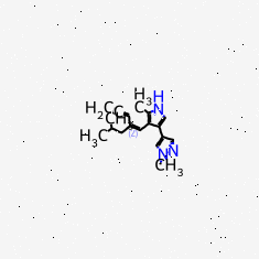 C=C=C/C(=C\c1c(-c2cnn(C)c2)c[nH]c1C)CC(C)C